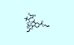 C=CCOC(=O)N1CCN(C(=O)OCC=C)C(C(=O)C[C@H]2NC(=O)[C@H]2[C@@H](CO[SiH](C)C)C(C)(C)C)C1